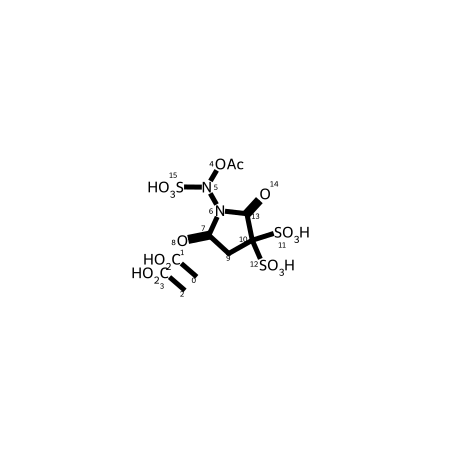 CC(=O)O.CC(=O)O.CC(=O)ON(N1C(=O)CC(S(=O)(=O)O)(S(=O)(=O)O)C1=O)S(=O)(=O)O